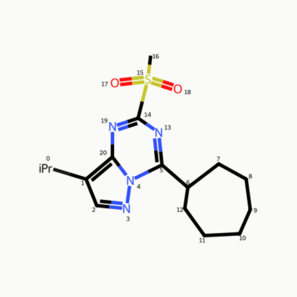 CC(C)c1cnn2c(C3CCCCCC3)nc(S(C)(=O)=O)nc12